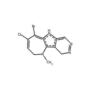 CN1CC=C(Cl)C(Br)=c2[nH]c3c(c21)CN=NC=3